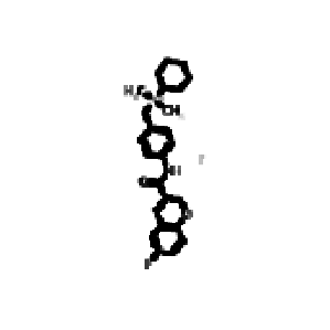 C[N+](C)(Cc1ccc(NC(=O)C2=Cc3cc(F)ccc3OC2)cc1)C1CCCCC1.[I-]